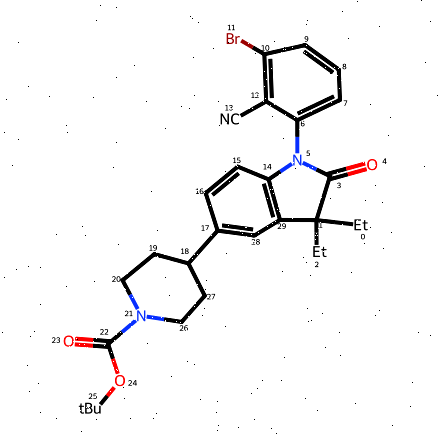 CCC1(CC)C(=O)N(c2cccc(Br)c2C#N)c2ccc(C3CCN(C(=O)OC(C)(C)C)CC3)cc21